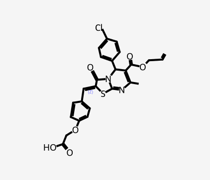 C=CCOC(=O)C1=C(C)N=c2s/c(=C\c3ccc(OCC(=O)O)cc3)c(=O)n2C1c1ccc(Cl)cc1